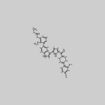 CCNCc1cncc(-c2ccc3[nH]nc(-c4ncc(C(=O)N5CCN(c6ccc(F)cc6F)CC5)[nH]4)c3c2)c1C